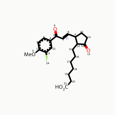 COc1ccc(C(=O)/C=C/C2CCC(=O)C2CCCCCCC(=O)O)cc1F